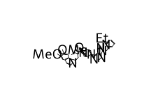 CCc1cccc(Cn2ncc3c(N4CCN(C(=O)[C@H]5CC[C@@]6(CC5)c5cc(OC)c(OC)cc5C=CN6C)CC4)ncnc32)n1